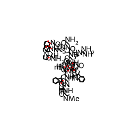 CCCC[C@@H](C(=O)N(C)[C@@H](CCCC)C(=O)N[C@@H](CCCNC(=N)N)C(=O)N[C@@H](CSCC(=O)N[C@@H](Cc1ccccc1)C(=O)N(C)[C@@H](C)C(=O)N[C@@H](CC(N)=O)C(=O)N1CCCC1)C(=O)NCC(N)=O)N(C)C(=O)[C@H](Cc1c[nH]c2ccccc12)NC(=O)[C@H](CO)NC(=O)[C@H](Cc1c[nH]c2ccccc12)NC(=O)CN(C)C(=O)[C@H](CC(C)C)NC(=O)[C@H](C)NC